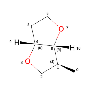 C[C@H]1CO[C@@H]2CCO[C@H]12